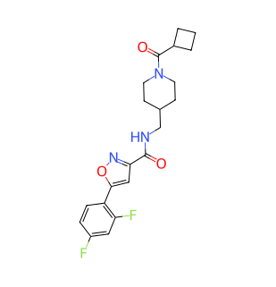 O=C(NCC1CCN(C(=O)C2CCC2)CC1)c1cc(-c2ccc(F)cc2F)on1